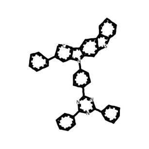 c1ccc(-c2ccc3c4cc5c(cc4n(-c4ccc(-c6nc(-c7ccccc7)nc(-c7ccccc7)n6)cc4)c3c2)sc2ccccc25)cc1